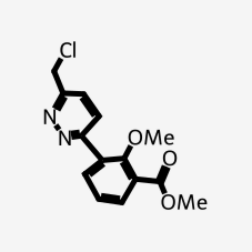 COC(=O)c1cccc(-c2ccc(CCl)nn2)c1OC